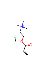 C=CC(=O)OCC[N+](C)(C)C.CCl